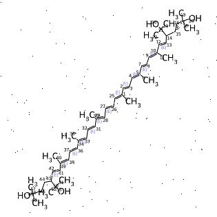 CC(/C=C/C=C(C)/C=C/C=C(C)/C=C/C(CCC(C)(C)O)C(C)(C)O)=C\C=C\C=C(C)\C=C\C=C(C)\C=C\C=C(C)\C=C\C(CCC(C)(C)O)C(C)(C)O